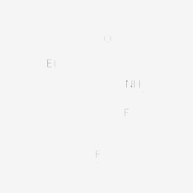 CCC(CC(F)F)C(N)=O